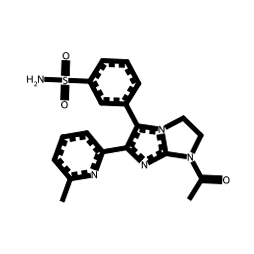 CC(=O)N1CCn2c1nc(-c1cccc(C)n1)c2-c1cccc(S(N)(=O)=O)c1